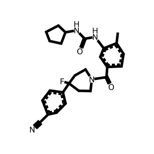 Cc1ccc(C(=O)N2CCC(F)(c3ccc(C#N)cc3)CC2)cc1NC(=O)NC1CCCC1